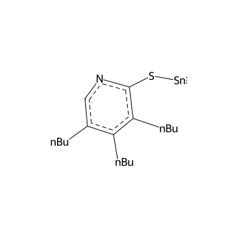 CCCCc1cnc([S][Sn])c(CCCC)c1CCCC